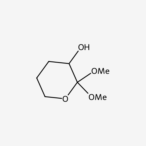 COC1(OC)OCCCC1O